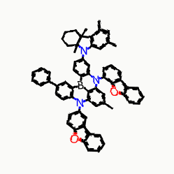 Cc1cc2c3c(c1)N(c1cccc4c1oc1ccccc14)c1cc(N4c5cc(C)cc(C)c5C5(C)CCCCC45C)ccc1B3c1cc(-c3ccccc3)ccc1N2c1ccc2oc3ccccc3c2c1